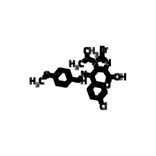 COc1ccc(CNC(c2ccc(Cl)cc2)c2c(C(=O)O)nc(Br)n2C(C)C)cc1